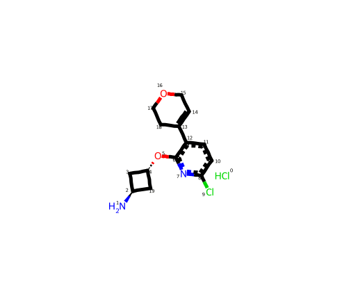 Cl.N[C@H]1C[C@H](Oc2nc(Cl)ccc2C2=CCOCC2)C1